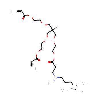 C=CC(=O)OCCOCC(CC)(COCCOC(=O)C=C)COCCOC(=O)CCN(C)CCC[Si](OC)(OC)OC